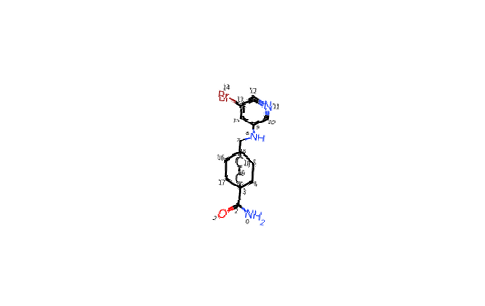 NC(=O)C12CCC(CNc3cncc(Br)c3)(CC1)CC2